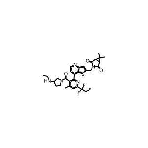 CCNC1CCN(C(=O)c2c(C)cc(C(F)(F)CF)nc2-c2ccnc3cc(CN4C(=O)C5C(C4=O)C5(C)C)sc23)C1